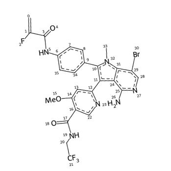 C=C(F)C(=O)Nc1ccc(-c2c(-c3cc(OC)c(C(=O)NCC(F)(F)F)cn3)c3c(N)ncc(Br)c3n2C)cc1